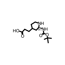 CC(C)(C)OC(=O)N[C@H]1CC(CCC(=O)O)CCN1